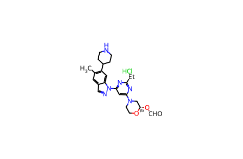 CCc1nc(N2CCO[C@@H](OC=O)C2)cc(-n2ncc3cc(C)c(C4CCNCC4)cc32)n1.Cl